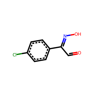 O=CC(=NO)c1ccc(Cl)cc1